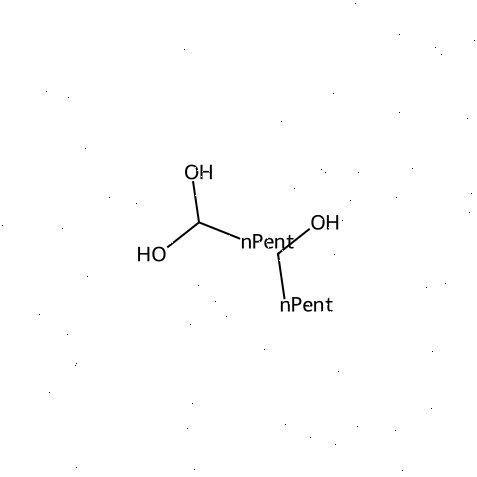 CCCCCC(O)O.CCCCCCO